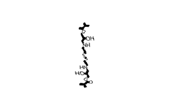 C=C(C)C(=C)OCC(O)CNCCSSCCNCC(O)COC(=O)C(=C)C